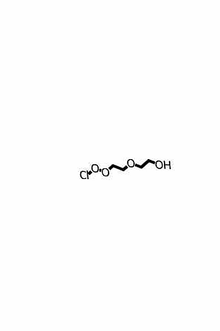 OCCOCCOOCl